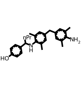 CCCC(Nc1c(C)cc(Cc2cc(C)c(N)c(C)c2)cc1C)c1ccc(O)cc1